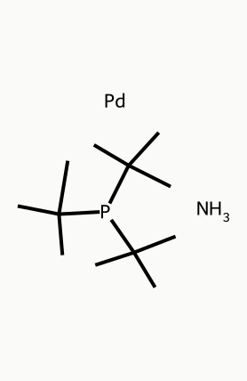 CC(C)(C)P(C(C)(C)C)C(C)(C)C.N.[Pd]